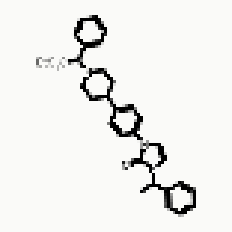 CCOC(=O)C(c1ccccc1)N1CCC(c2ccc(-n3ccn(C(C)c4ccccc4)c3=O)cc2)CC1